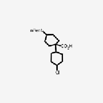 CCCCCC1CCC(C(=O)O)(C2CCC(Cl)CC2)CC1